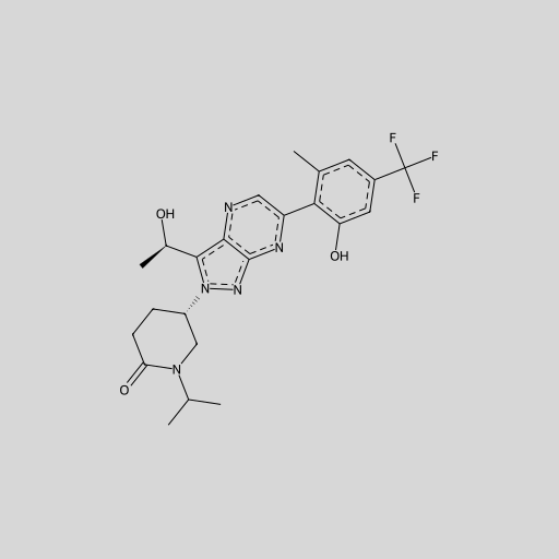 Cc1cc(C(F)(F)F)cc(O)c1-c1cnc2c([C@@H](C)O)n([C@H]3CCC(=O)N(C(C)C)C3)nc2n1